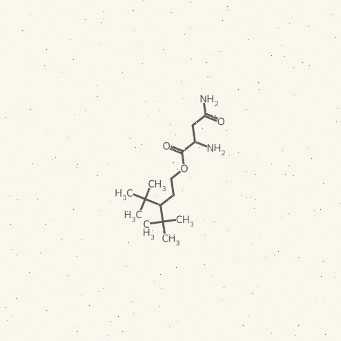 CC(C)(C)C(CCOC(=O)C(N)CC(N)=O)C(C)(C)C